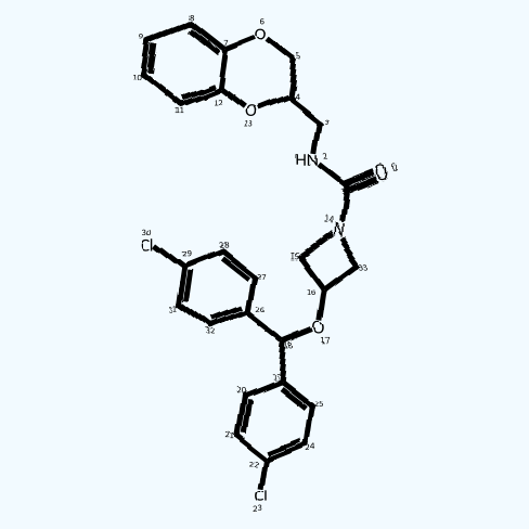 O=C(NCC1COc2ccccc2O1)N1CC(OC(c2ccc(Cl)cc2)c2ccc(Cl)cc2)C1